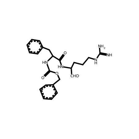 N=C(N)NCCCC([C]=O)NC(=O)C(Cc1ccccc1)NC(=O)OCc1ccccc1